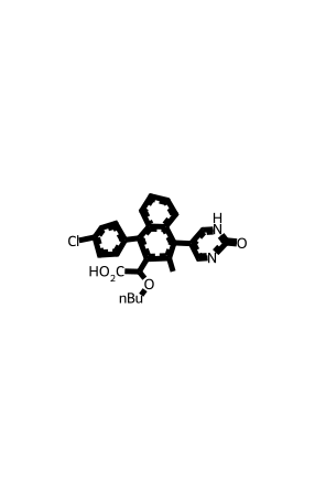 CCCCOC(C(=O)O)c1c(C)c(-c2cnc(=O)[nH]c2)c2ccccc2c1-c1ccc(Cl)cc1